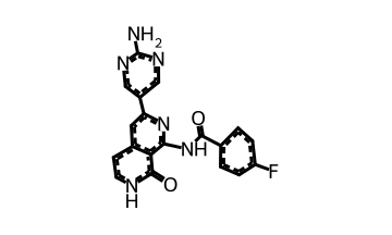 Nc1ncc(-c2cc3cc[nH]c(=O)c3c(NC(=O)c3ccc(F)cc3)n2)cn1